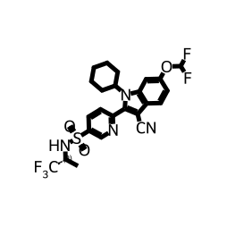 C[C@@H](NS(=O)(=O)c1ccc(-c2c(C#N)c3ccc(OC(F)F)cc3n2C2CCCCC2)nc1)C(F)(F)F